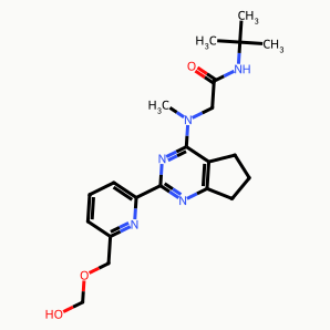 CN(CC(=O)NC(C)(C)C)c1nc(-c2cccc(COCO)n2)nc2c1CCC2